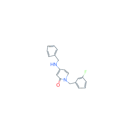 O=c1cc(NCc2ccccc2)ccn1Cc1cccc(F)c1